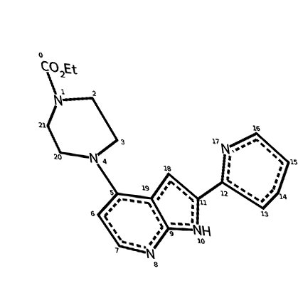 CCOC(=O)N1CCN(c2ccnc3[nH]c(-c4ccccn4)cc23)CC1